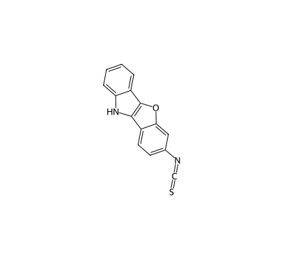 S=C=Nc1ccc2c(c1)oc1c3ccccc3[nH]c21